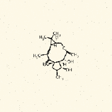 C=C1CC[C@H]2[C@@H](/C=C(\C)C(=O)[C@@]3(O)C[C@H](C)[C@H](O)[C@@H]3[C@H]1O)C2(C)C